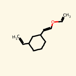 C=COC=CC1CC[CH]C(C=C)C1